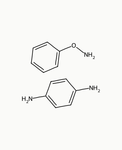 NOc1ccccc1.Nc1ccc(N)cc1